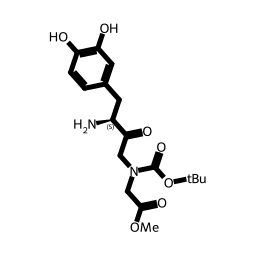 COC(=O)CN(CC(=O)[C@@H](N)Cc1ccc(O)c(O)c1)C(=O)OC(C)(C)C